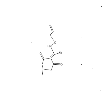 C=CCONC(CC)=C1C(=O)CC(C)CC1=O